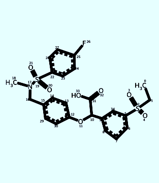 CCS(=O)(=O)c1cccc(C(Oc2ccc(CN(C)S(=O)(=O)c3ccc(F)cc3)cc2)C(=O)O)c1